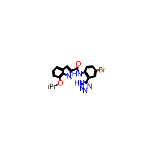 CC(C)Oc1cccc2cc(C(=O)Nc3ccc(Br)cc3-c3nnn[nH]3)n(C)c12